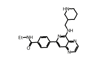 CCNC(=O)c1ccc(-c2cc3nccnc3c(NCC3CCCNC3)n2)cc1